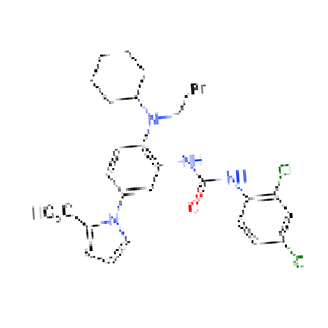 CC(C)CN(c1ccc(-n2cccc2C(=O)O)cc1NC(=O)Nc1ccc(Cl)cc1Cl)C1CCCCC1